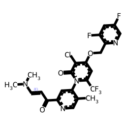 Cc1cnc(C(=O)/C=C/N(C)C)cc1-n1c(C(F)(F)F)cc(OCc2ncc(F)cc2F)c(Cl)c1=O